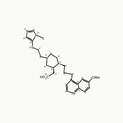 COc1ccc2nccc(CCC[C@@H]3CCN(CCSc4cncn4C)C[C@@H]3CC(=O)O)c2c1